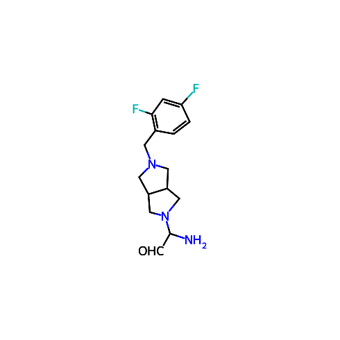 NC(C=O)N1CC2CN(Cc3ccc(F)cc3F)CC2C1